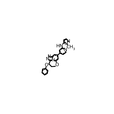 Cn1nccc1Nc1cc(-c2cc3n4c(nnc4c2)[C@@H](Oc2ccccc2)CCO3)ccn1